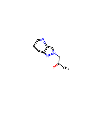 CC(=O)Cn1cc2ncccc2n1